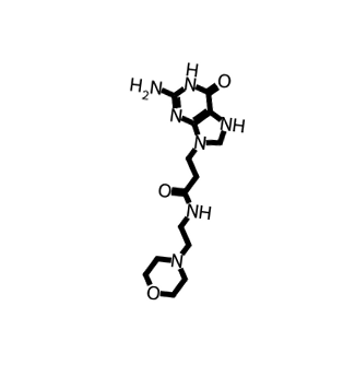 Nc1nc2c(c(=O)[nH]1)NCN2CCC(=O)NCCN1CCOCC1